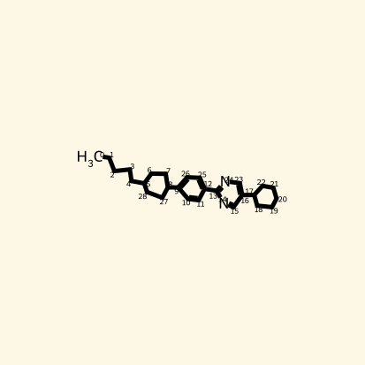 CCCCCC1CCC(c2ccc(-c3ncc(C4CCCCC4)cn3)cc2)CC1